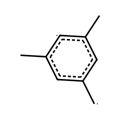 [CH2]c1cc(C)[c]c(C)c1